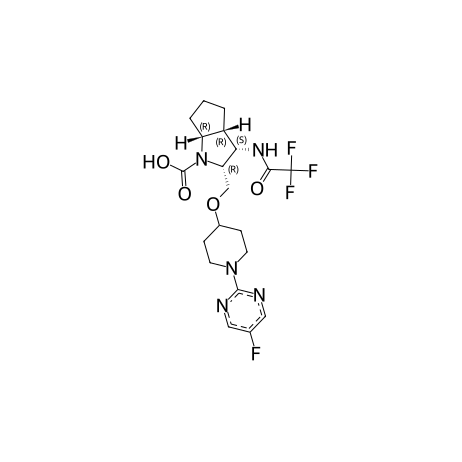 O=C(O)N1[C@@H]2CCC[C@@H]2[C@H](NC(=O)C(F)(F)F)[C@@H]1COC1CCN(c2ncc(F)cn2)CC1